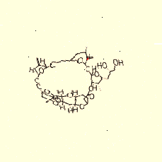 C=C1C[C@@H]2CC[C@@]34C[C@@]5(C)O[C@H]6[C@@H](O3)[C@H]3OC(CC[C@@H]3O[C@H]6[C@H]5O4)CC(=O)C[C@@H]3[C@@H](C)[C@@H](C[C@H](O)CO)O[C@H]3C[C@H]3OC(CC[C@@H]1O2)C[C@@H](C)C3=C